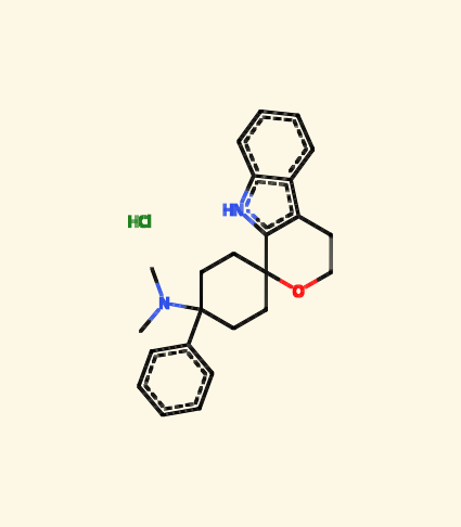 CN(C)C1(c2ccccc2)CCC2(CC1)OCCc1c2[nH]c2ccccc12.Cl